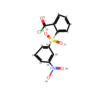 O=C(Cl)c1ccccc1S(=O)(=O)c1cccc([N+](=O)[O-])c1